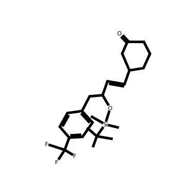 CC(C)(C)[Si](C)(C)OC(C=CC1CCCC(=O)C1)Cc1ccc(C(F)(F)F)cc1